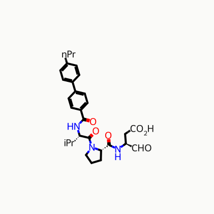 CCCc1ccc(-c2ccc(C(=O)N[C@H](C(=O)N3CCC[C@H]3C(=O)N[C@H](C=O)CC(=O)O)C(C)C)cc2)cc1